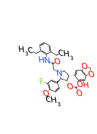 CCc1cccc(CC)c1NC(=O)CN1C[C@H](c2ccc3c(c2)OCO3)[C@H](OC(=O)O)[C@H]1c1ccc(OC)c(F)c1